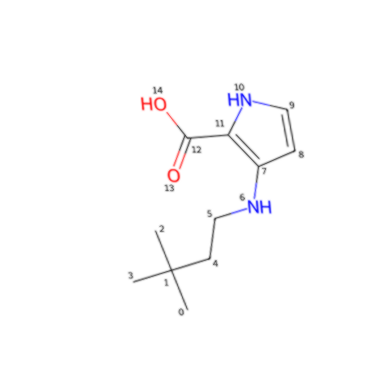 CC(C)(C)CCNc1cc[nH]c1C(=O)O